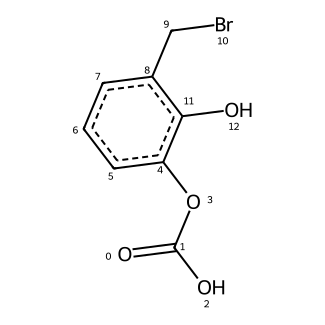 O=C(O)Oc1cccc(CBr)c1O